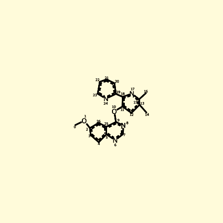 COc1ccc2ncnc(Oc3cc(C)c(C)nc3-c3ccccn3)c2c1